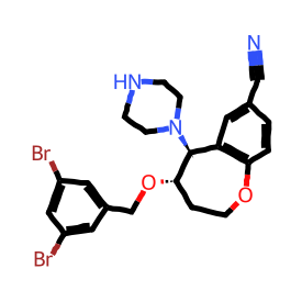 N#Cc1ccc2c(c1)[C@H](N1CCNCC1)[C@@H](OCc1cc(Br)cc(Br)c1)CCO2